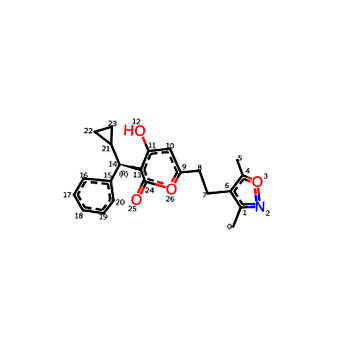 Cc1noc(C)c1CCc1cc(O)c([C@@H](c2ccccc2)C2CC2)c(=O)o1